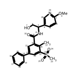 COc1ccc(C(CO)NC(=O)c2cc(-c3ccccc3)cc(S(C)(=O)=O)c2C)cn1